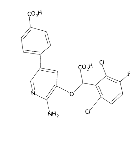 Nc1ncc(-c2ccc(C(=O)O)cc2)cc1OC(C(=O)O)c1c(Cl)ccc(F)c1Cl